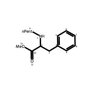 CCCCCNC(Cc1ccccc1)C(=O)OC